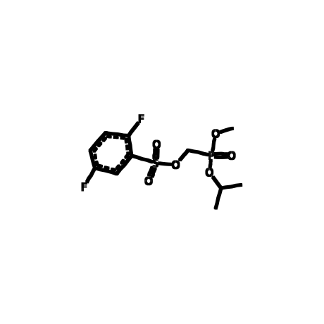 COP(=O)(COS(=O)(=O)c1cc(F)ccc1F)OC(C)C